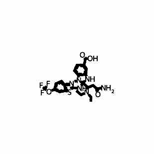 CCN(CC)C(CC(N)=O)C1(Nc2nc3ccc(OC(F)(F)F)cc3s2)Nc2cc(C(=O)O)ccc2N1C